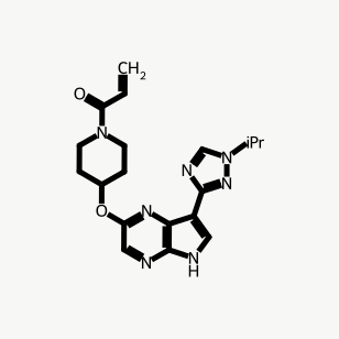 C=CC(=O)N1CCC(Oc2cnc3[nH]cc(-c4ncn(C(C)C)n4)c3n2)CC1